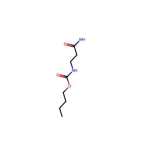 CCCCOC(=O)NCCC([NH])=O